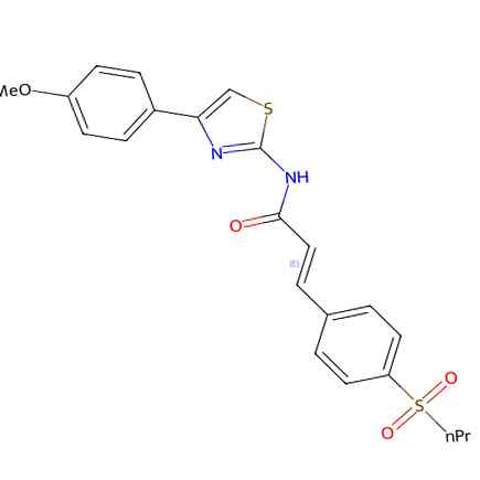 CCCS(=O)(=O)c1ccc(/C=C/C(=O)Nc2nc(-c3ccc(OC)cc3)cs2)cc1